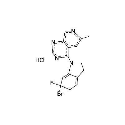 Cc1cc2c(N3CCC4=CCC(F)(Br)C=C43)ncnc2cn1.Cl